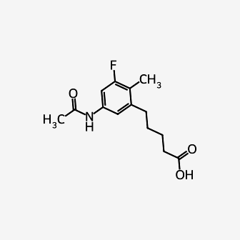 CC(=O)Nc1cc(F)c(C)c(CCCCC(=O)O)c1